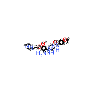 COc1cc(C(=N)N2CCN(C(=O)Nc3ccc(OC(C)C)cc3)CC2)c(N)cc1OCCCN1CCN(C)CC1